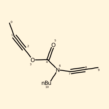 CC#COC(=O)N(C#CC)CCCC